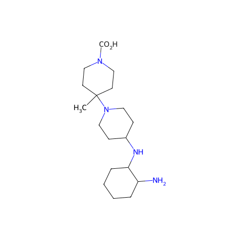 CC1(N2CCC(NC3CCCCC3N)CC2)CCN(C(=O)O)CC1